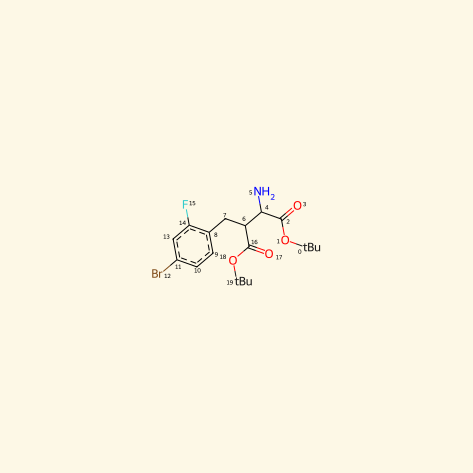 CC(C)(C)OC(=O)C(N)C(Cc1ccc(Br)cc1F)C(=O)OC(C)(C)C